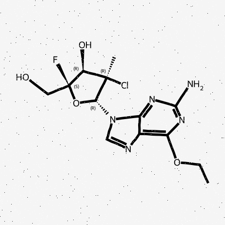 CCOc1nc(N)nc2c1ncn2[C@@H]1O[C@](F)(CO)[C@@H](O)[C@@]1(C)Cl